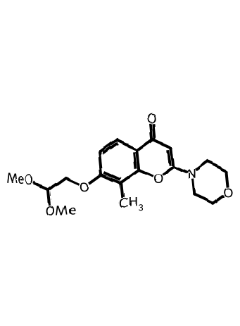 COC(COc1ccc2c(=O)cc(N3CCOCC3)oc2c1C)OC